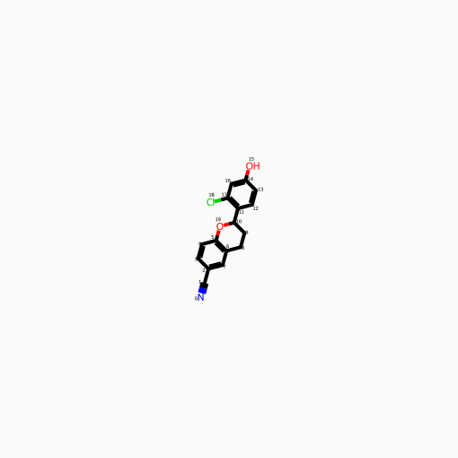 N#Cc1ccc2c(c1)CCC(c1ccc(O)cc1Cl)O2